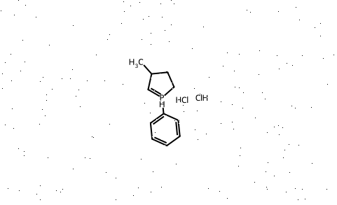 CC1C=[PH](c2ccccc2)CC1.Cl.Cl